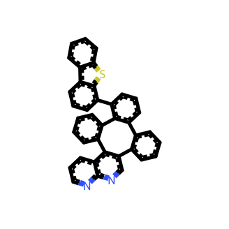 c1ccc2c(c1)-c1cccc(-c3cccc4c3sc3ccccc34)c1-c1ccccc1-c1c-2cnc2ncccc12